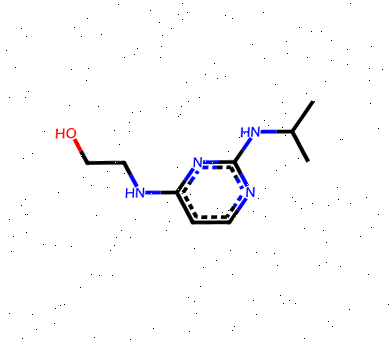 CC(C)Nc1nccc(NCCO)n1